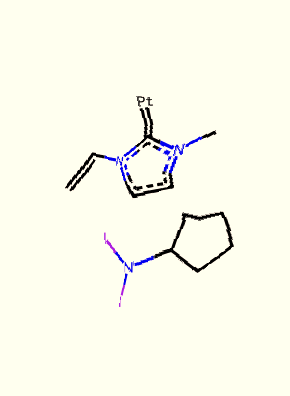 C=Cn1ccn(C)[c]1=[Pt].IN(I)C1CCCC1